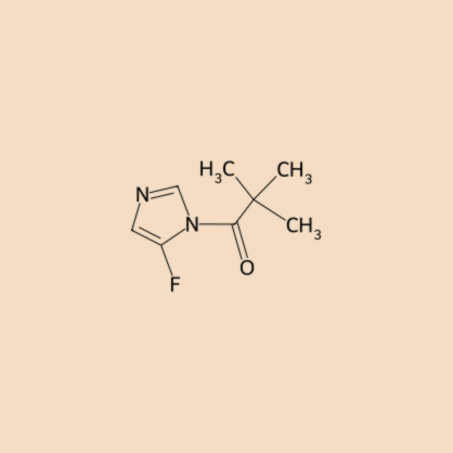 CC(C)(C)C(=O)n1cncc1F